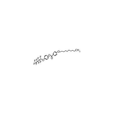 CCCCCCCCCCOc1ccc(C(=O)Oc2ccc(OC(F)C(F)(F)C(F)(F)C(F)(F)F)cc2)cc1